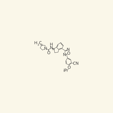 CC(C)Oc1ccc(-c2nc(-c3cccc4c3CC[C@H]4NC(=O)N3CC[C@H](C)C3)no2)cc1C#N